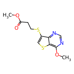 COC(=O)CCSc1csc2c(OC)ncnc12